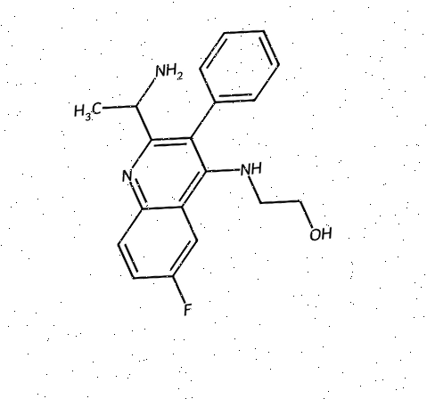 CC(N)c1nc2ccc(F)cc2c(NCCO)c1-c1ccccc1